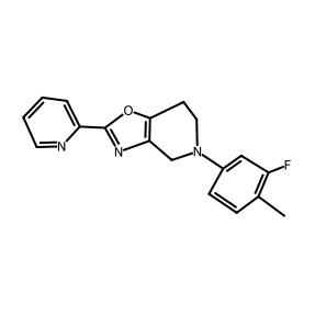 Cc1ccc(N2CCc3oc(-c4ccccn4)nc3C2)cc1F